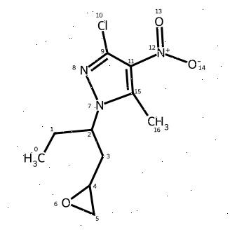 CCC(CC1CO1)n1nc(Cl)c([N+](=O)[O-])c1C